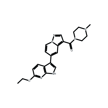 CCOc1ccc2c(-c3ccn4ncc(C(=O)N5CCN(C)CC5)c4c3)c[nH]c2n1